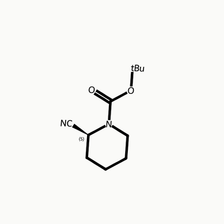 CC(C)(C)OC(=O)N1CCCC[C@H]1C#N